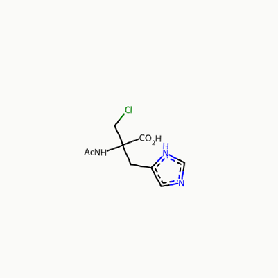 CC(=O)NC(CCl)(Cc1cnc[nH]1)C(=O)O